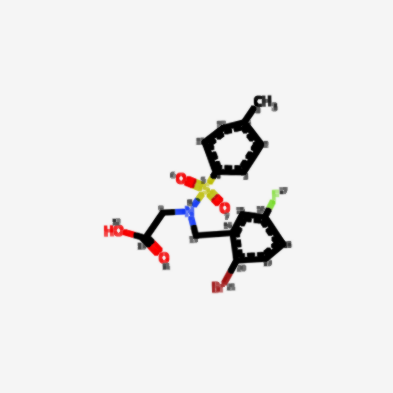 Cc1ccc(S(=O)(=O)N(CC(=O)O)Cc2cc(F)ccc2Br)cc1